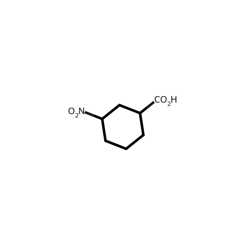 O=C(O)C1CCCC([N+](=O)[O-])C1